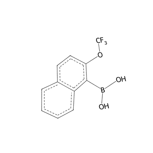 OB(O)c1c(OC(F)(F)F)ccc2ccccc12